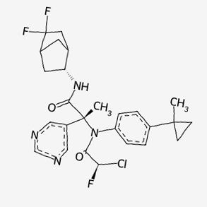 CC1(c2ccc(N(C(=O)[C@H](F)Cl)[C@@](C)(C(=O)N[C@@H]3CC4CC3CC4(F)F)c3cncnc3)cc2)CC1